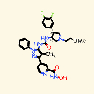 COCCN1C[C@@H](NC(=O)Nc2c(C)c(-c3ccnc(C(=O)NO)c3)nn2-c2ccccc2)[C@H](c2ccc(F)c(F)c2)C1